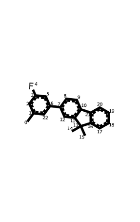 Cc1cc(F)cc(-c2ccc3c(c2)C(C)(C)c2ccccc2-3)c1